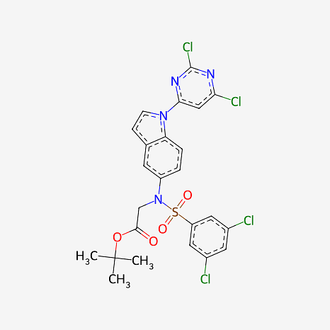 CC(C)(C)OC(=O)CN(c1ccc2c(ccn2-c2cc(Cl)nc(Cl)n2)c1)S(=O)(=O)c1cc(Cl)cc(Cl)c1